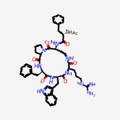 CC(=O)N[C@@H](Cc1ccccc1)C(=O)N[C@H]1CCNC(=O)C(CCCNC(=N)N)NC(=O)C(Cc2c[nH]c3ccccc23)NC(=O)[C@@H](Cc2ccccc2)NC(=O)C2CCCN2C1=O